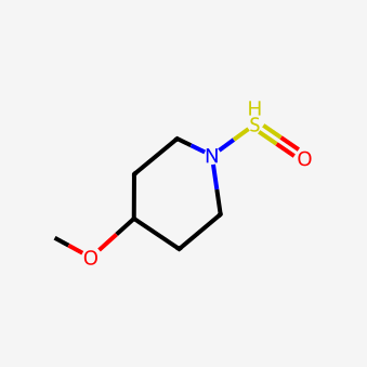 COC1CCN([SH]=O)CC1